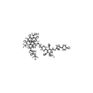 C[C@H](NC(=O)OC(C)(C)C)C(=O)N[C@H](C(=O)OC[C@H](COc1ccc(-c2c(C#N)c(N)nc(SCc3coc(-c4ccc(Cl)cc4)n3)c2C#N)cc1)OC(=O)[C@@H](NC(=O)[C@H](C)NC(=O)OC(C)(C)C)[C@@H](C)O)[C@@H](C)O